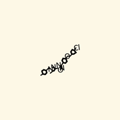 Cc1ccc(Cn2nc(-c3nc(-c4ccc(OCc5ccc(Cl)cc5)cc4)no3)cc2C)cc1